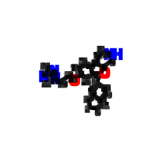 c1ccc2cc(COC3CNCCC3c3ccc(OCCn4cncn4)cc3)ccc2c1